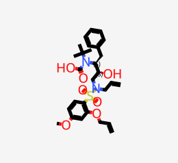 C=CCOc1cc(OC)ccc1S(=O)(=O)N(CC=C)C[C@H](O)[C@H](Cc1ccccc1)N(C(=O)O)C(C)(C)C